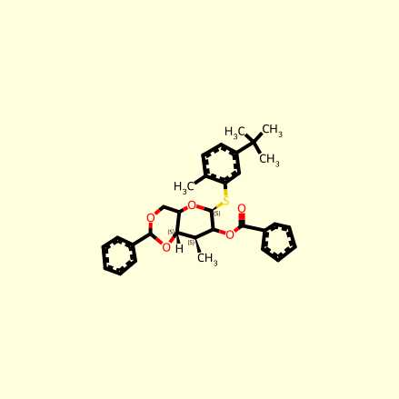 Cc1ccc(C(C)(C)C)cc1S[C@@H]1OC2COC(c3ccccc3)O[C@H]2[C@H](C)C1OC(=O)c1ccccc1